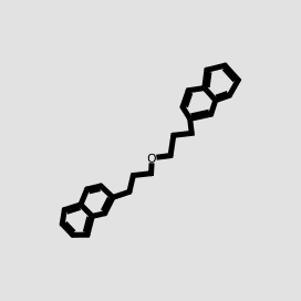 c1ccc2cc(CCCOCCCc3ccc4ccccc4c3)ccc2c1